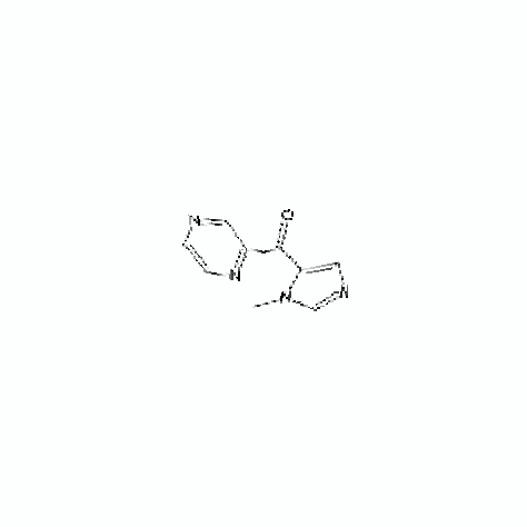 Cn1cncc1C(=O)c1cnccn1